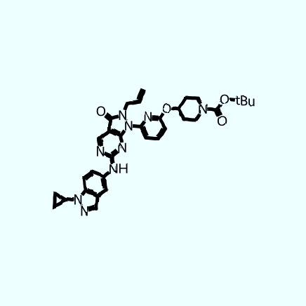 C=CCn1c(=O)c2cnc(Nc3ccc4c(cnn4C4CC4)c3)nc2n1-c1cccc(OC2CCN(C(=O)OC(C)(C)C)CC2)n1